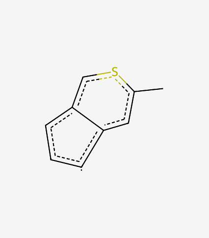 Cc1cc2[c]ccc-2cs1